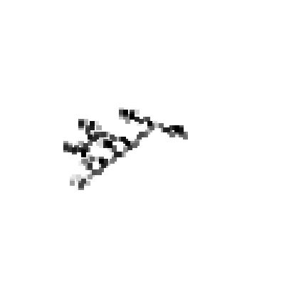 CCCN(CCC)CCCN(CCCN(CCC)CCC)CCC[Si](C)(CC)OCC